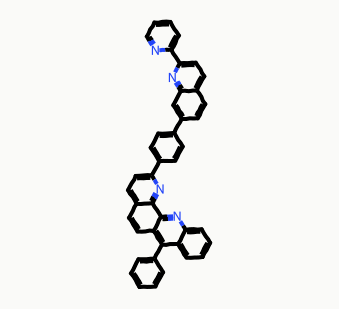 c1ccc(-c2c3ccccc3nc3c2ccc2ccc(-c4ccc(-c5ccc6ccc(-c7ccccn7)nc6c5)cc4)nc23)cc1